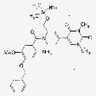 COc1cc(C(=O)N2CCC(c3cn(C)c(=O)n(C)c3=O)=CC2CO[Si](C)(C)C(C)(C)C)c(N)cc1OCc1ccccc1